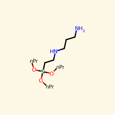 CCCO[Si](CCNCCCN)(OCCC)OCCC